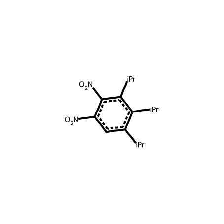 CC(C)c1cc([N+](=O)[O-])c([N+](=O)[O-])c(C(C)C)c1C(C)C